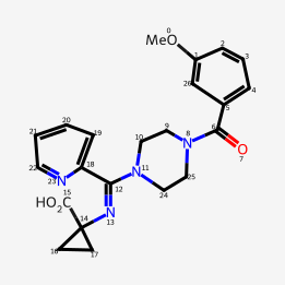 COc1cccc(C(=O)N2CCN(C(=NC3(C(=O)O)CC3)c3ccccn3)CC2)c1